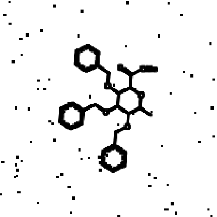 COC(=O)C1OC(C)C(OCc2ccccc2)C(OCc2ccccc2)C1OCc1ccccc1